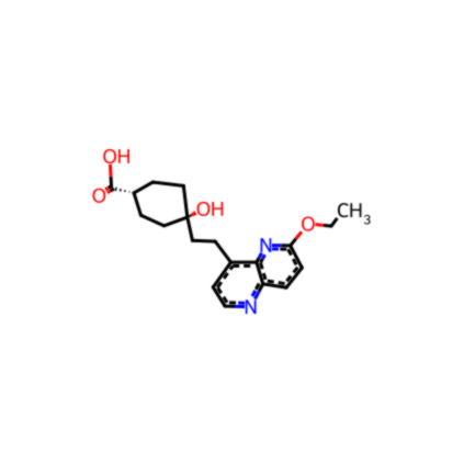 CCOc1ccc2nccc(CC[C@]3(O)CC[C@H](C(=O)O)CC3)c2n1